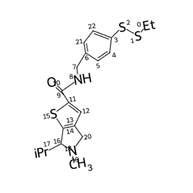 CCSSc1ccc(CNC(=O)c2cc3c(s2)C(C(C)C)N(C)C3)cc1